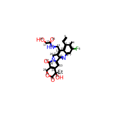 C=Cc1c(C)c(F)cc2nc3c(c(CNC(=O)CO)c12)Cn1c-3cc2c(c1=O)COC(=O)[C@]2(O)CC